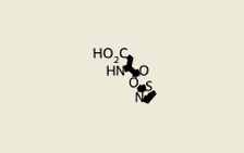 N=C(CC(=O)O)C(=O)Oc1nccs1